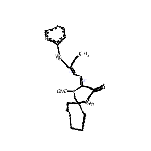 C/C(=C\C=C1\C(=S)NC2(CCCCC2)N1C=O)Nc1ccncn1